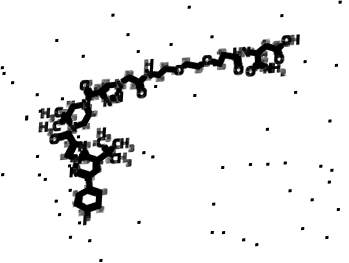 CC(C)(C)c1cc(-c2ccc(F)cc2)nn2cc(C(=O)N3CCN(C(=O)c4cn(CC(=O)NCCOCCOCCC(=O)NC(CC(=O)O)C(N)=O)nn4)CC3(C)C)nc12